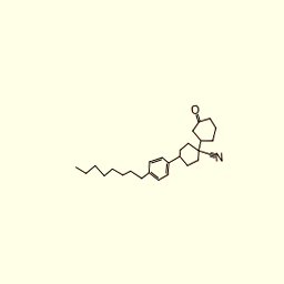 CCCCCCCCc1ccc(C2CCC(C#N)(C3CCCC(=O)C3)CC2)cc1